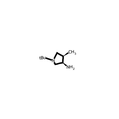 C[C@@H]1CN(C(C)(C)C)C[C@@H]1N